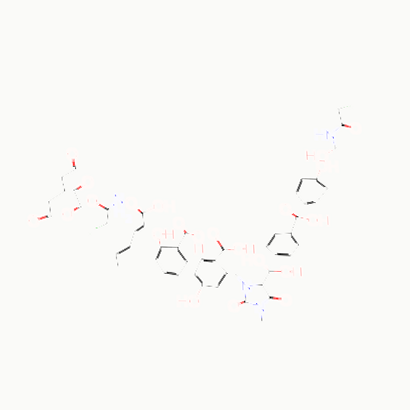 C/C=C/C=C/C(=O)O.CN1C(=O)C(C(O)O)N(C)C1=O.NC(=O)CCl.O=C(CCl)NCO.O=C(O)c1ccc(O)cc1.O=C(O)c1ccccc1.O=C(O)c1ccccc1O.O=CC=O.O=CCCCC=O.Oc1ccccc1